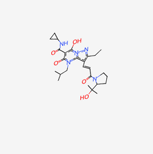 CCc1nn2c(O)c(C(=O)NC3CC3)c(=O)n(CC(C)C)c2c1C=CC(=O)N1CCCC1C(C)(C)O